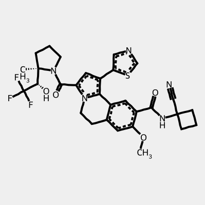 COc1cc2c(cc1C(=O)NC1(C#N)CCC1)-c1c(-c3cncs3)cc(C(=O)N3CCC[C@]3(C)[C@H](O)C(F)(F)F)n1CC2